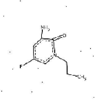 CCCn1cc(F)cc(N)c1=O